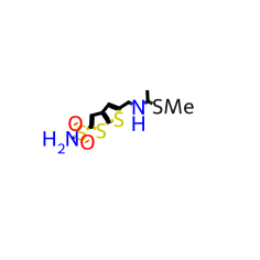 CSC(C)NCc1cc2cc(S(N)(=O)=O)sc2s1